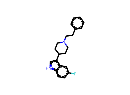 Fc1ccc2[nH]cc(C3CCN(CCc4ccccc4)CC3)c2c1